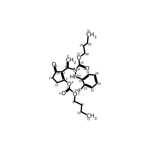 C=C(C1=C(OC(=O)OCCCC)CCC1=O)N(Nc1ccccc1F)C(=O)OCCCC